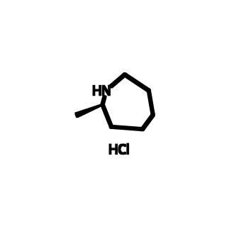 C[C@@H]1CCCCCN1.Cl